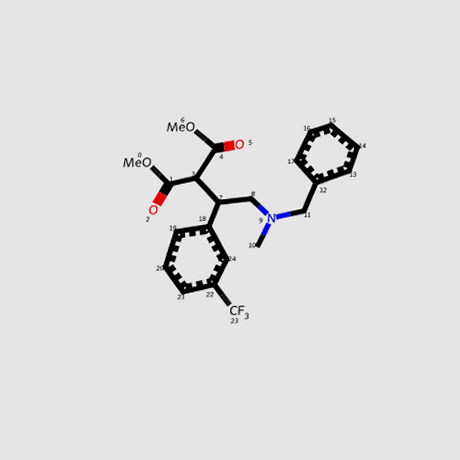 COC(=O)C(C(=O)OC)C(CN(C)Cc1ccccc1)c1cccc(C(F)(F)F)c1